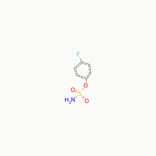 NS(=O)(=O)Oc1ccc(F)cc1